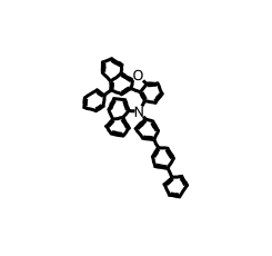 c1ccc(-c2ccc(-c3ccc(N(c4cccc5ccccc45)c4cccc5oc6c7ccccc7c(-c7ccccc7)cc6c45)cc3)cc2)cc1